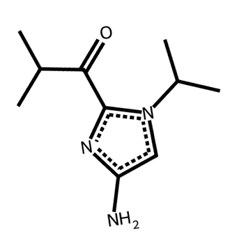 CC(C)C(=O)c1nc(N)cn1C(C)C